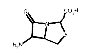 NC1C(=O)N2C(C(=O)O)SCC12